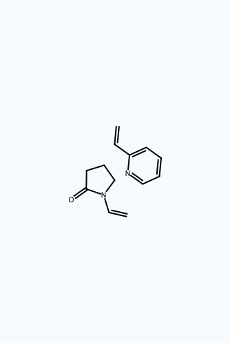 C=CN1CCCC1=O.C=Cc1ccccn1